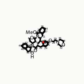 COC(=O)N(C1CCCCO1)[C@@H](Cc1ccccc1)[C@@H](O)C[C@@H](Cc1ccc(OCCN2CCOCC2)cc1)C(=O)N[C@H]1c2ccccc2C[C@H]1O